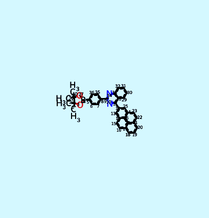 CC1(C)OB(c2ccc(-c3nc(-c4cc5ccc6cccc7ccc(c4)c5c67)c4ccccc4n3)cc2)OC1(C)C